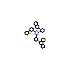 c1cc(-c2nc(-c3ccccc3-c3ccc4ccccc4c3)nc(-c3cccc4c3sc3ccccc34)n2)cc(-c2cc3ccccc3c3ccccc23)c1